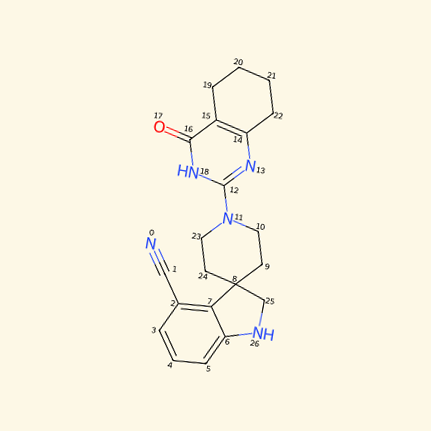 N#Cc1cccc2c1C1(CCN(c3nc4c(c(=O)[nH]3)CCCC4)CC1)CN2